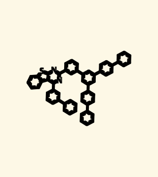 c1ccc(-c2ccc(-c3cc(-c4ccc(-c5ccccc5)cc4)cc(-c4cccc(-c5nc(-c6cccc(-c7ccccc7)c6)c6c(n5)sc5ccccc56)c4)c3)cc2)cc1